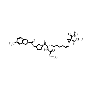 CC(C)(C)OC(=O)N[C@@H](CCCCC/C=C\[C@@H]1C[C@]1(NC=O)C(N)=O)C(=O)N1CC[C@@H](OC(=O)N2Cc3ccc(C(F)(F)F)cc3C2)C1